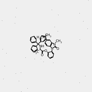 C[C@H](NC(c1ccccc1)(c1ccccc1)c1ccccc1)C(=O)Oc1ccccc1-n1c(=O)n(C)c2cc(N(C)C)ccc21